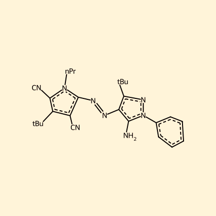 [C-]#[N+]c1c(C(C)(C)C)c(C#N)c(/N=N/c2c(C(C)(C)C)nn(-c3ccccc3)c2N)n1CCC